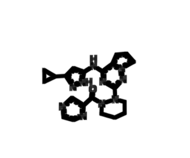 O=C(c1cnccn1)N1CCCCN1c1nc(Nc2cc(C3CC3)n[nH]2)c2cccn2n1